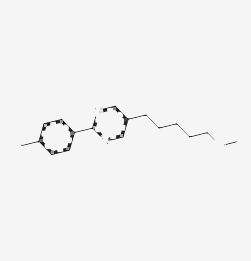 COCCCCCc1cnc(-c2ccc(Cl)cc2)nc1